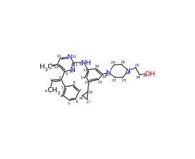 C/C=C(\c1ccccc1)c1nc(Nc2cc(C3CC3)cc(N3CCN(CCO)CC3)c2)ncc1C